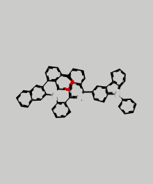 c1ccc(-n2c3ccccc3c3cc(-c4nc(-c5ccccc5N5c6cc7ccccc7cc6-c6cccc7cccc5c67)cc5ccccc45)ccc32)cc1